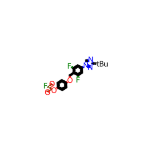 CC(C)(C)c1ncn(-c2cc(F)c(COc3ccc(OS(=O)(=O)F)cc3)c(F)c2)n1